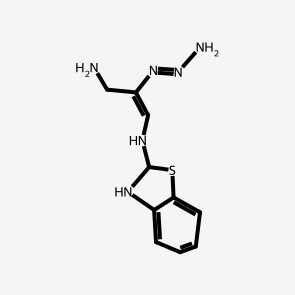 NC/C(=C\NC1Nc2ccccc2S1)N=NN